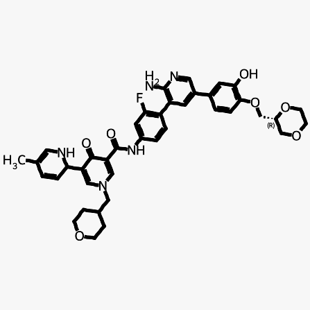 CC1=CNC(c2cn(CC3CCOCC3)cc(C(=O)Nc3ccc(-c4cc(-c5ccc(OC[C@H]6COCCO6)c(O)c5)cnc4N)c(F)c3)c2=O)C=C1